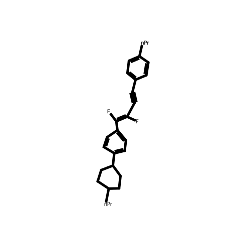 CCCc1ccc(C#CC(F)=C(F)c2ccc(C3CCC(CCC)CC3)cc2)cc1